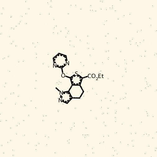 CCOC(=O)c1sc(Oc2ncccn2)c2c1CCc1cnn(C)c1-2